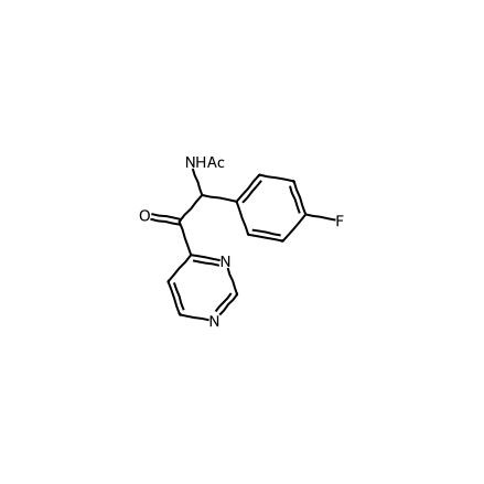 CC(=O)NC(C(=O)c1ccncn1)c1ccc(F)cc1